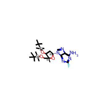 CC(C)(C)[Si](C)(C)OC[C@@]1(C)O[C@@H](n2cnc3c(N)nc(F)nc32)CC1O[Si](C)(C)C(C)(C)C